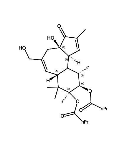 CCCC(=O)O[C@@H]1[C@@H](C)C2[C@@H](C=C(CO)C[C@]3(O)C(=O)C(C)=C[C@@H]23)C(C)(C)[C@]1(C)OC(=O)CCC